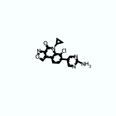 Nc1ncc(-c2ccc3c4conc4c(=O)n(C4CC4)c3c2Cl)cn1